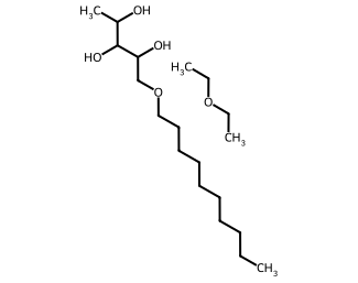 CCCCCCCCCCOCC(O)C(O)C(C)O.CCOCC